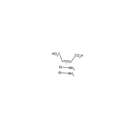 CCN.CCN.O=C(O)/C=C\C(=O)O